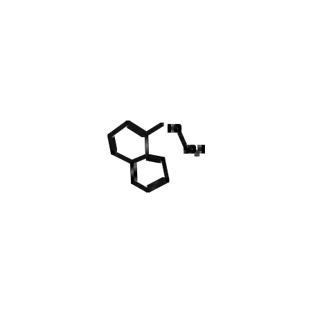 Cc1cccc2ccccc12.O=S(=O)(O)O